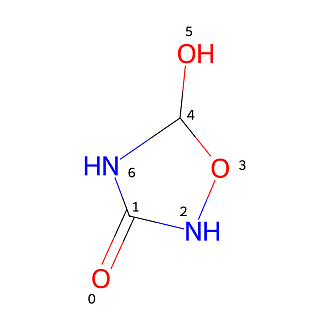 O=C1NOC(O)N1